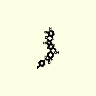 CC1(C(=O)Nc2ccc(F)cc2)CCN(c2nc3[nH]nc(Sc4cc[nH]c(=O)c4Cl)c3nc2CO)CC1